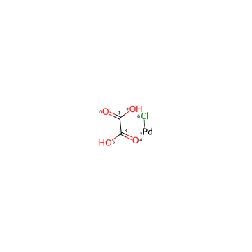 O=C(O)C(=O)O.[Cl][Pd]